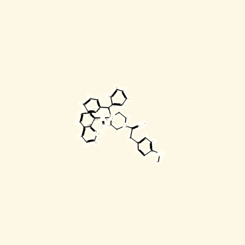 COc1ccc(CC(=O)N2CC[N+](C(c3ccccc3)c3ccccc3)(S(=O)(=O)c3cccc4cccnc34)CC2)cc1